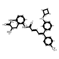 O=C(C=CC=C(c1ccc(C(F)(F)F)cc1)c1cccc(OC2CCC2)c1)Nc1cccc2c1CC(O)C(=O)N2